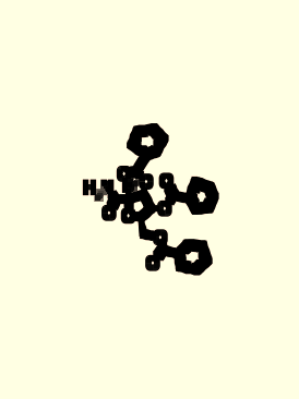 NC(=O)[C@]1(Br)O[C@H](COC(=O)c2ccccc2)[C@@H](OC(=O)c2ccccc2)[C@H]1OC(=O)c1ccccc1